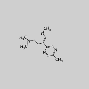 CO/C=C(\CCN(C)C)c1cnc(C)cn1